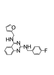 Fc1ccc(CNc2nc(NCc3ccco3)c3ccccc3n2)cc1